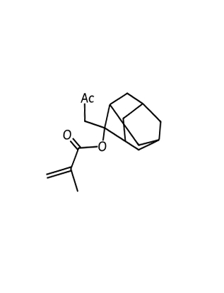 C=C(C)C(=O)OC1(CC(C)=O)C2CC3CC(C2)CC1C3